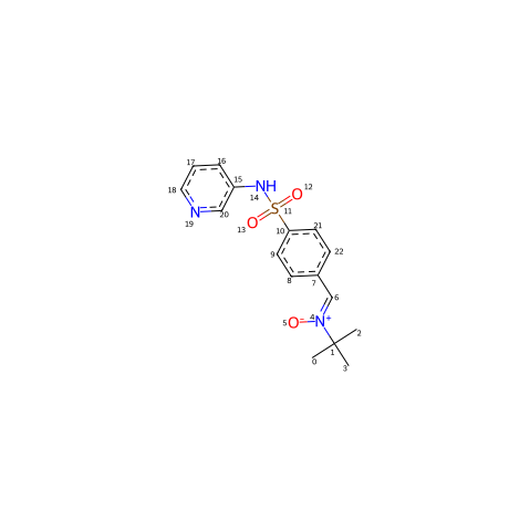 CC(C)(C)[N+]([O-])=Cc1ccc(S(=O)(=O)Nc2cccnc2)cc1